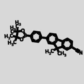 CC1(C)c2cc(C#N)ccc2-c2ccc(-c3ccc(B4OC(C)(C)C(C)(C)O4)cc3)cc21